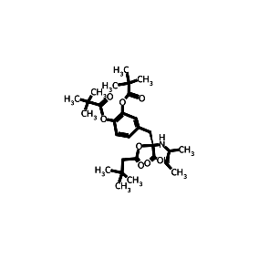 CCC(C)N[C@@](Cc1ccc(OC(=O)C(C)(C)C)c(OC(=O)C(C)(C)C)c1)(OC(=O)CC(C)(C)C)C(=O)O